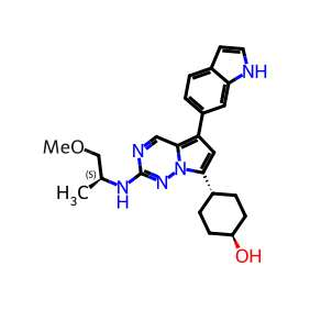 COC[C@H](C)Nc1ncc2c(-c3ccc4cc[nH]c4c3)cc([C@H]3CC[C@H](O)CC3)n2n1